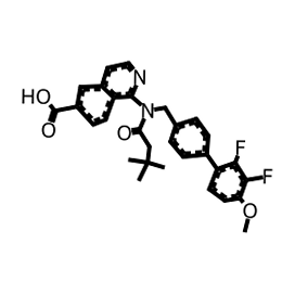 COc1ccc(-c2ccc(CN(C(=O)CC(C)(C)C)c3nccc4cc(C(=O)O)ccc34)cc2)c(F)c1F